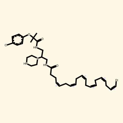 CC/C=C\C/C=C\C/C=C\C/C=C\C/C=C\C/C=C\CCC(=O)NCC(CNC(=O)C(C)(C)Oc1ccc(Cl)cc1)N1CCNCC1